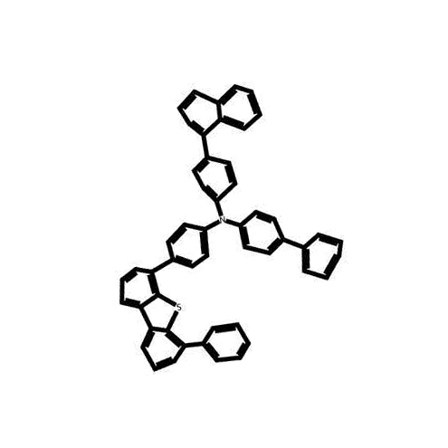 c1ccc(-c2ccc(N(c3ccc(-c4cccc5ccccc45)cc3)c3ccc(-c4cccc5c4sc4c(-c6ccccc6)cccc45)cc3)cc2)cc1